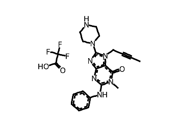 CC#CCn1c(N2CCNCC2)nc2nc(Nc3ccccc3)n(C)c(=O)c21.O=C(O)C(F)(F)F